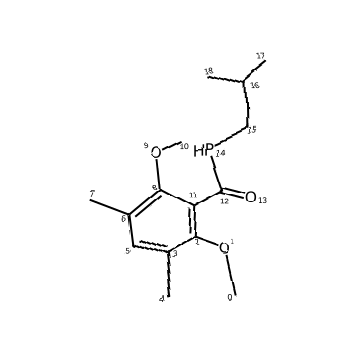 COc1c(C)cc(C)c(OC)c1C(=O)PCC(C)C